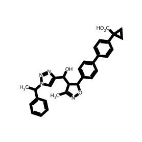 CC1=NOC(c2ccc(-c3ccc(C4(C(=O)O)CC4)cc3)cc2)C1C(O)c1cn(C(C)c2ccccc2)nn1